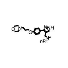 CCCN(C)Cc1c[nH]nc1-c1ccc(OCCCN2CCOCC2)cc1